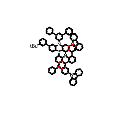 CC(C)(C)c1cccc(-c2ccc3c(c2)N(c2cc(-c4ccccc4)cc(-c4ccccc4)c2)c2cc(-n4c5ccccc5c5ccccc54)cc4c2B3c2ccc(N(c3ccccc3)c3ccc(-n5c6ccccc6c6ccccc65)cc3)cc2N4c2c(-c3ccccc3)cccc2-c2ccccc2)c1